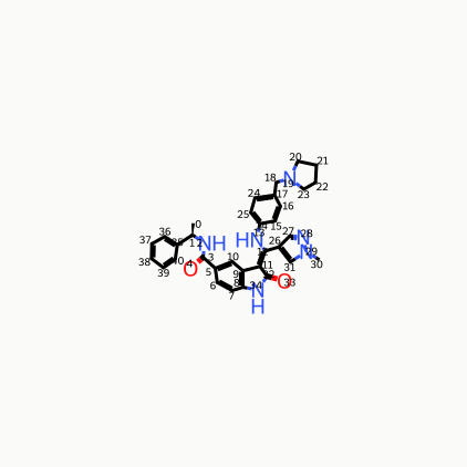 C[C@@H](NC(=O)c1ccc2c(c1)C(=C(Nc1ccc(CN3CCCC3)cc1)c1cnn(C)c1)C(=O)N2)c1ccccc1